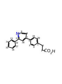 O=C(O)CCc1ccc(-c2ccnc(-c3ccccc3)c2)cc1